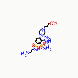 NCCNS(=O)(=O)c1ccc(N2CCN(CCCO)CC2)c(-c2nnn[nH]2)c1S(N)(=O)=O